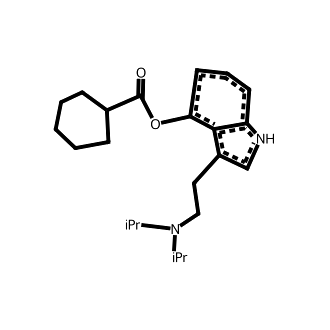 CC(C)N(CCc1c[nH]c2cccc(OC(=O)C3CCCCC3)c12)C(C)C